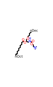 CCCCCCCCC=CCCCCCCCC(=O)OC(CNC(=O)OCCN(C)C)COCCCCCCCCCCCCCC